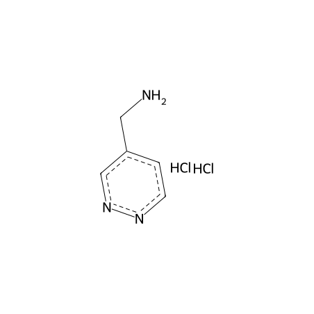 Cl.Cl.NCc1ccnnc1